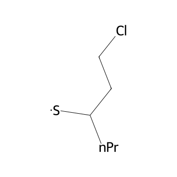 CCCC([S])CCCl